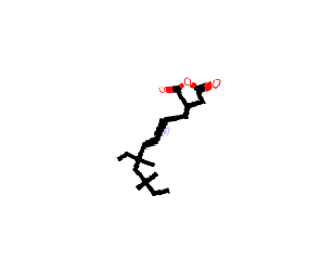 CCC(C)(C)CC(C)(CC)C/C=C/CC1CC(=O)OC1=O